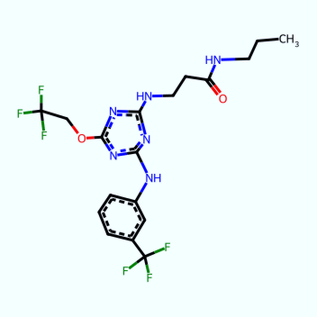 CCCNC(=O)CCNc1nc(Nc2cccc(C(F)(F)F)c2)nc(OCC(F)(F)F)n1